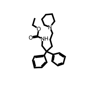 CCOC(=O)NCC(CCCN1CCCCC1)(c1ccccc1)c1ccccc1